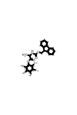 CC(NC(=O)OCC1c2ccccc2-c2ccccc21)C(=O)Oc1c(F)c(F)c(F)c(F)c1F